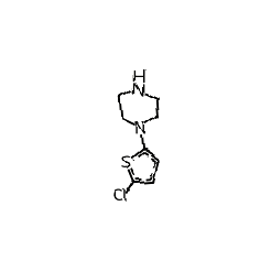 Clc1ccc(N2CCNCC2)s1